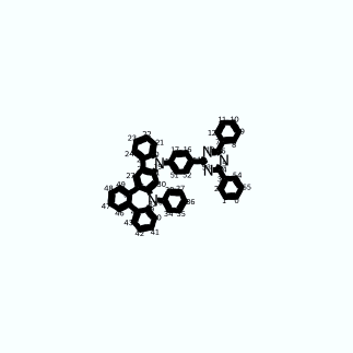 c1ccc(-c2nc(-c3ccccc3)nc(-c3ccc(-n4c5ccccc5c5cc6c(cc54)N(c4ccccc4)c4ccccc4-c4ccccc4-6)cc3)n2)cc1